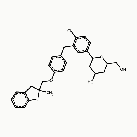 CC1(COc2ccc(Cc3cc(C4CC(O)CC(CO)O4)ccc3Cl)cc2)Cc2ccccc2O1